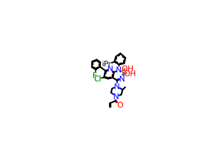 C=CC(=O)N1CCN(C2=NS(O)(O)N(c3ccccc3C(C)C)c3nc(-c4ccccc4F)c(Cl)cc32)C(C)C1